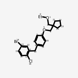 CCOCC1(COc2ccc(Cc3cc(Br)ccc3Cl)cc2)CCCC1